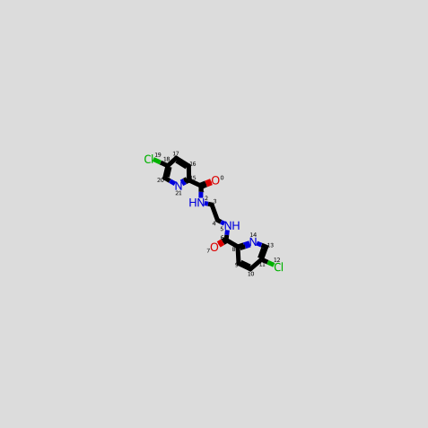 O=C(NCCNC(=O)c1ccc(Cl)cn1)c1ccc(Cl)cn1